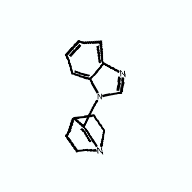 C1=C(n2cnc3ccccc32)C2CCN1CC2